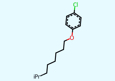 CC(C)CCCCCCOc1ccc(Cl)cc1